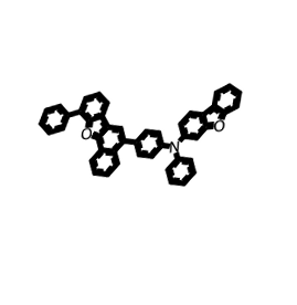 c1ccc(-c2cccc3c2oc2c4ccccc4c(-c4ccc(N(c5ccccc5)c5ccc6c(c5)oc5ccccc56)cc4)cc32)cc1